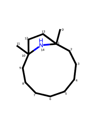 CC12CCCCCCCCC(C)(CC1)N2